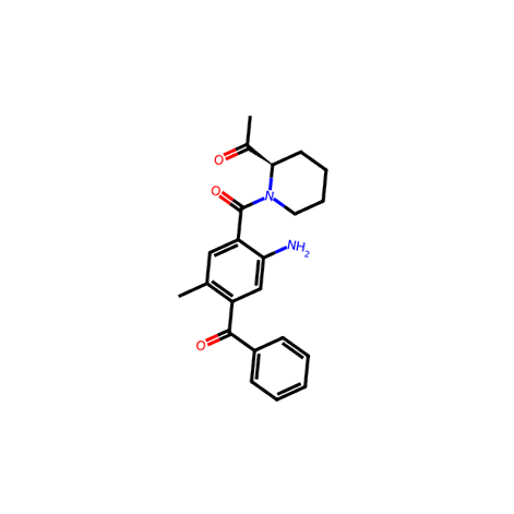 CC(=O)[C@H]1CCCCN1C(=O)c1cc(C)c(C(=O)c2ccccc2)cc1N